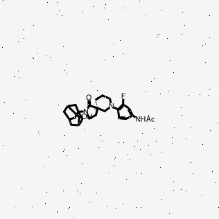 CC(=O)Nc1ccc(N2CCC[C@@]3(CCN(C45CC6CC(C4)C(O)C(C6)C5)C3=O)C2)c(F)c1